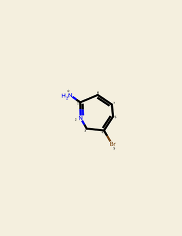 NC1=NCC(Br)=CC=C1